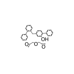 C(OCC1CO1)C1CO1.Oc1cc(Cc2ccccc2-c2ccccc2)ccc1-c1ccccc1